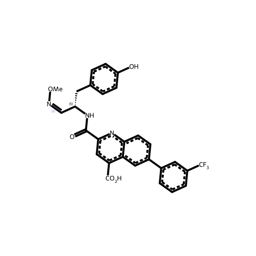 CO/N=C\[C@H](Cc1ccc(O)cc1)NC(=O)c1cc(C(=O)O)c2cc(-c3cccc(C(F)(F)F)c3)ccc2n1